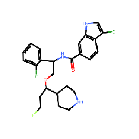 O=C(NC(COC(CCF)C1CCNCC1)c1ccccc1Cl)c1ccc2c(Cl)c[nH]c2c1